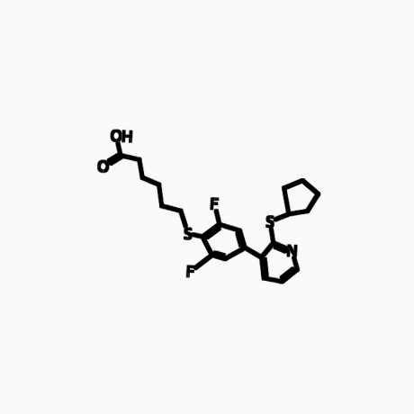 O=C(O)CCCCCSc1c(F)cc(-c2cccnc2SC2CCCC2)cc1F